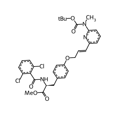 COC(=O)[C@H](Cc1ccc(OC/C=C/c2cccc(N(C)C(=O)OC(C)(C)C)n2)cc1)NC(=O)c1c(Cl)cccc1Cl